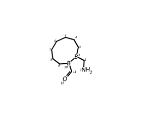 NCB1CCCCCCCB1C=O